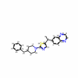 CC(c1ccc2nccnc2c1)c1cnc(N2CCC(Cc3ccccc3)CC2)s1